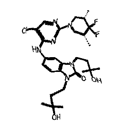 C[C@@H]1CN(c2ncc(Cl)c(Nc3ccc4c(c3)n(CCC(C)(C)O)c(=O)n4CCC(C)(C)O)n2)C[C@H](C)C1(F)F